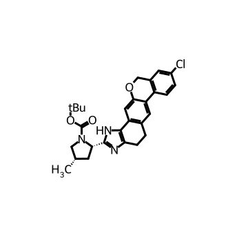 C[C@H]1C[C@@H](c2nc3c([nH]2)-c2cc4c(cc2CC3)-c2ccc(Cl)cc2CO4)N(C(=O)OC(C)(C)C)C1